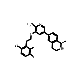 C[C@H]1NCCc2cc(-c3cnc(N)c(OCCc4c(Cl)ccc(F)c4Cl)c3)ccc21